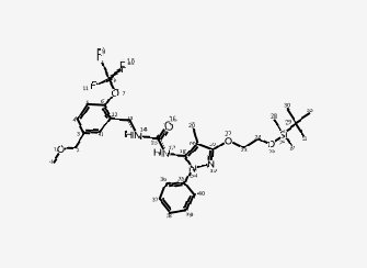 COCc1ccc(OC(F)(F)F)c(CNC(=O)Nc2c(C)c(OCCO[Si](C)(C)C(C)(C)C)nn2-c2ccccc2)c1